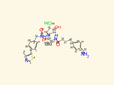 Cc1ncsc1-c1ccc(CNC(=O)[C@@H]2C[C@@H](O)CN2C(=O)[C@@H](NC(=O)CCCc2ccc(CN)cc2)C(C)(C)C)cc1.Cl